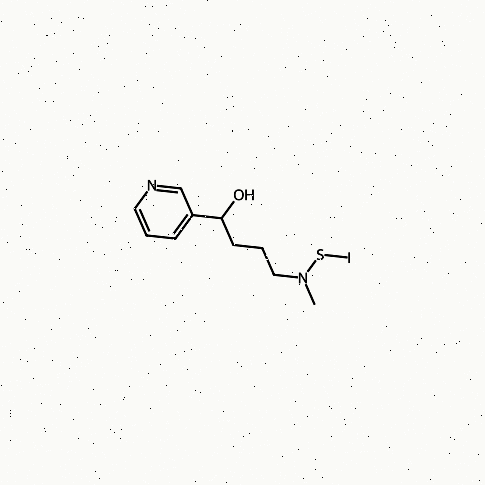 CN(CCCC(O)c1cccnc1)SI